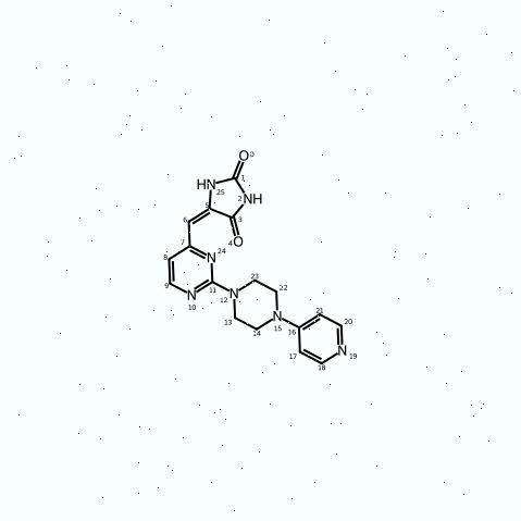 O=C1NC(=O)/C(=C\c2ccnc(N3CCN(c4ccncc4)CC3)n2)N1